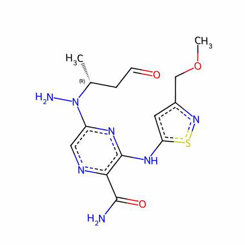 COCc1cc(Nc2nc(N(N)[C@H](C)CC=O)cnc2C(N)=O)sn1